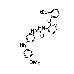 COc1ccc(Nc2ccc(NC(=O)Nc3cccnc3Oc3ccccc3C(C)(C)C)cc2)cc1